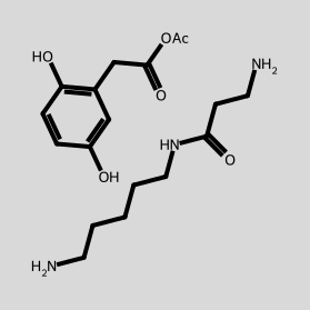 CC(=O)OC(=O)Cc1cc(O)ccc1O.NCCCCCNC(=O)CCN